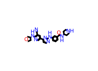 N#Cc1cc(-c2ccnc(Nc3cccc(C(=O)NC4CCNCC4)c3)n2)cnc1N[C@@H]1CCOC1